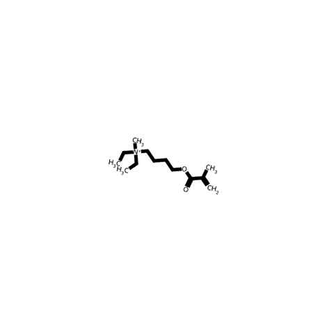 C=C(C)C(=O)OCC[CH]C[N+](C)(CC)CC